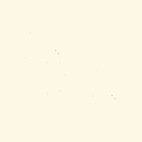 CN(C)c1ccc(C=CC2N(C)c3ccccc3C2(C)C)cc1.Cl